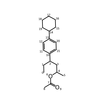 CCC(CC(C)OC(C)=O)c1ccc(C2CCCCC2)cc1